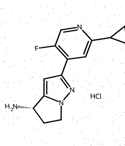 Cl.N[C@H]1CCn2nc(-c3cc(C4CC4)ncc3F)cc21